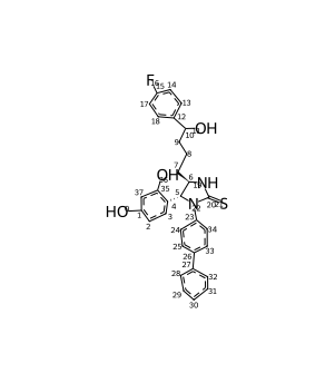 Oc1ccc([C@@H]2[C@@H](CCCC(O)c3ccc(F)cc3)NC(=S)N2c2ccc(-c3ccccc3)cc2)c(O)c1